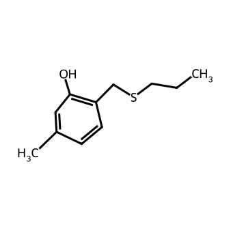 CCCSCc1ccc(C)cc1O